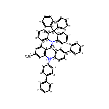 CC(C)(C)c1cc2c3c(c1)N(c1ccc(-c4ccccc4)cc1)c1ccc(-c4ccccc4)cc1B3N1c3ccccc3C(c3ccccc3)(c3ccccc3)c3cccc-2c31